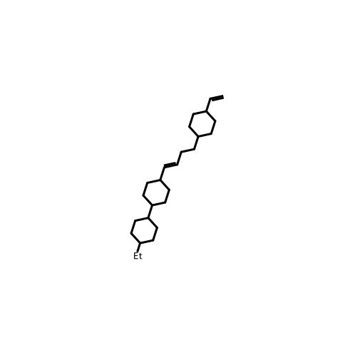 C=CC1CCC(CCC=CC2CCC(C3CCC(CC)CC3)CC2)CC1